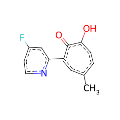 Cc1ccc(O)c(=O)c(-c2cc(F)ccn2)c1